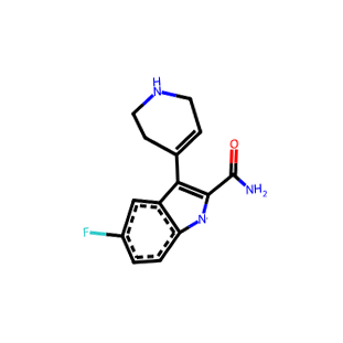 NC(=O)C1=C(C2=CCNCC2)c2cc(F)ccc2[N]1